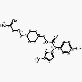 Cc1ccc(N(C(=O)OCC2CCC(COCC(=O)O)CC2)c2ccc(F)cc2)s1